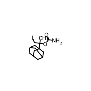 CC(CI)(OC(N)=O)C12CC3CC(CC(C3)C1)C2